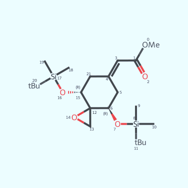 COC(=O)C=C1C[C@@H](O[Si](C)(C)C(C)(C)C)C2(CO2)[C@H](O[Si](C)(C)C(C)(C)C)C1